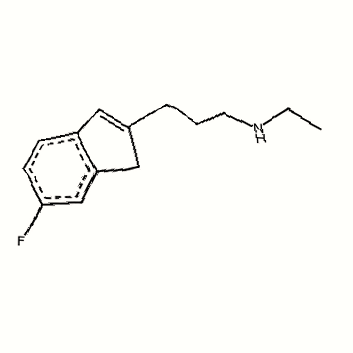 CCNCCCC1=Cc2ccc(F)cc2C1